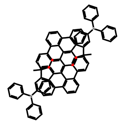 CC1(C)c2cc(N(c3ccccc3)c3ccccc3)ccc2-c2c1cc1c(-c3c(-c4ccccc4)cccc3-c3ccccc3)c3c(cc1c2-c1c(-c2ccccc2)cccc1-c1ccccc1)C(C)(C)c1cc(N(c2ccccc2)c2ccccc2)ccc1-3